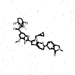 COc1cc(C(=O)N2C[C@H]3CC[C@@H]2[C@@H]3N)cc2nc(-c3cc4ccc(-c5ccc6c(c5)C(=O)N(C)C6)nc4n3CC3CC3)n(C)c12